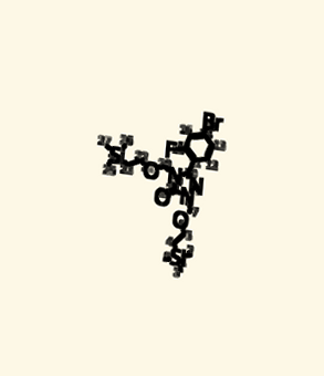 C[Si](C)(C)CCOCn1nc(-c2ccc(Br)cc2F)n(COCC[Si](C)(C)C)c1=O